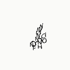 O=c1[nH]c(-c2ccnc(F)c2)nc(N2CCn3cncc3C2)c1Cl